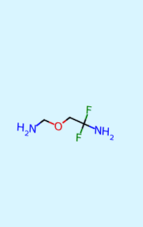 NCOCC(N)(F)F